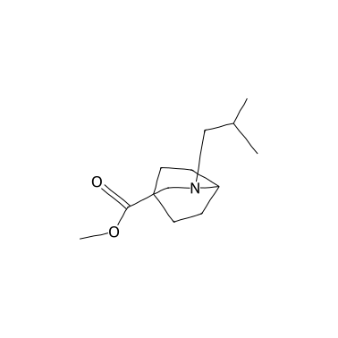 COC(=O)C12CCC(CC1)N(CC(C)C)C2